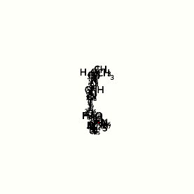 CC(C)(C)OC(=O)N1CCC(NC(=O)c2ccc(C#Cc3cc(F)c4c(c3)C(=O)N(C(C(=O)Nc3nccs3)c3ncn5c3CCC5)C4)cn2)CC1